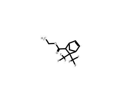 CCOC(=O)C1C2C=CC(C2)C1(C(F)(F)F)C(F)(F)F